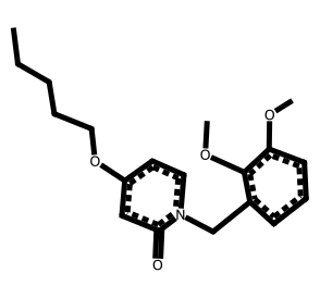 CCCCCOc1ccn(Cc2cccc(OC)c2OC)c(=O)c1